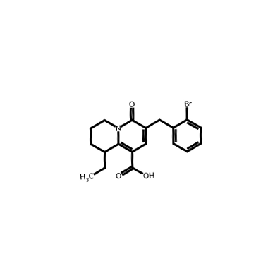 CCC1CCCn2c1c(C(=O)O)cc(Cc1ccccc1Br)c2=O